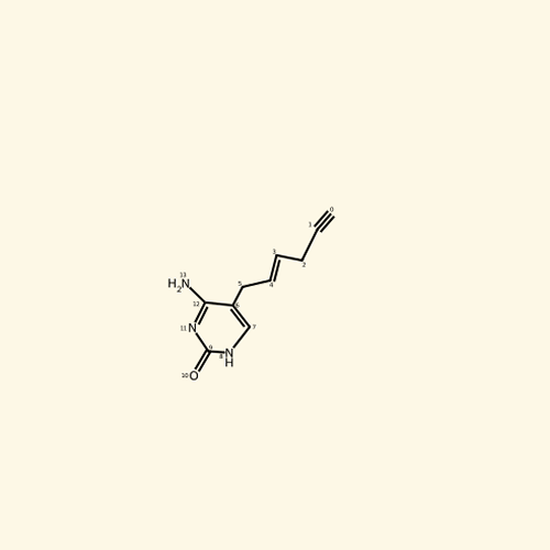 C#CCC=CCc1c[nH]c(=O)nc1N